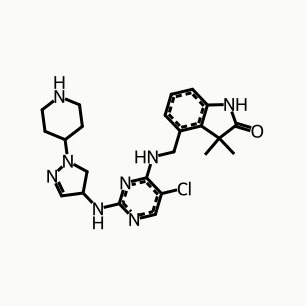 CC1(C)C(=O)Nc2cccc(CNc3nc(NC4C=NN(C5CCNCC5)C4)ncc3Cl)c21